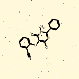 Cn1c(-c2ccccc2)nc(Cl)c(Oc2ccccc2C#N)c1=O